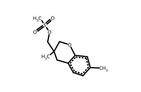 Cc1ccc2c(c1)OCC(C)(COS(C)(=O)=O)C2